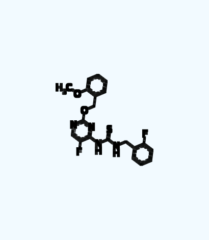 COc1ccccc1COc1ncc(F)c(NC(=S)NCc2ccccc2F)n1